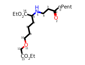 CCCCCC(=O)CCNC(CCCCOCC(=O)OCC)C(=O)OCC